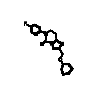 O=C1N(c2ccc(F)cn2)CCc2nc(COc3ccccc3)cn21